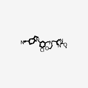 COc1ncc(CN2CCOc3c(Cl)cc(-n4ccc5cc(C#N)ccc54)cc3C2)cn1